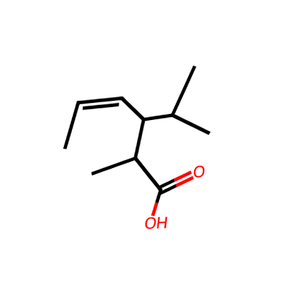 C/C=C\C(C(C)C)C(C)C(=O)O